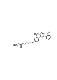 Nc1nnc(-c2ccccc2O)cc1N1CCN(CCCCCCNC(=O)O)CC1